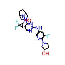 O=C([C@@H]1CC1(F)F)N1C2CCC1CN(c1ccnc(Nc3cnc(N4CC[C@H](O)C4)c(F)c3)n1)C2